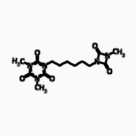 CN1C(=O)N(CCCCCCn2c(=O)n(C)c(=O)n(C)c2=O)C1=O